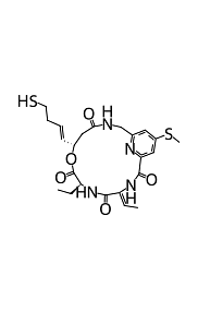 C/C=C1\NC(=O)c2cc(SC)cc(n2)CNC(=O)C[C@@H](/C=C/CCS)OC(=O)[C@H](CC)NC1=O